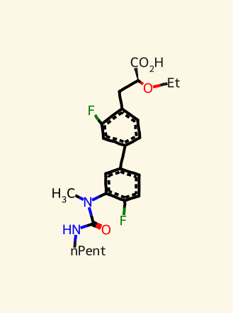 CCCCCNC(=O)N(C)c1cc(-c2ccc(C[C@H](OCC)C(=O)O)c(F)c2)ccc1F